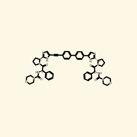 O=C(N[C@@H](C(=O)N1CCC[C@H]1c1ncc(C#Cc2ccc(-c3ccc(-c4cnc([C@@H]5CCCN5C(=O)[C@H](NC(=O)N5CCOCC5)c5ccccc5)[nH]4)cc3)cc2)[nH]1)c1ccccc1)N1CCOCC1